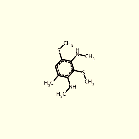 CNc1c(C)cc(SC)c(NC)c1SC